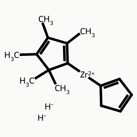 CC1=C(C)C(C)(C)[C]([Zr+2][C]2=CC=CC2)=C1C.[H-].[H-]